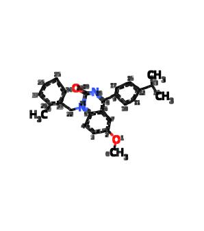 COc1ccc2c(c1)c(-c1ccc(C(C)C)cc1)nc(=O)n2Cc1ccccc1C